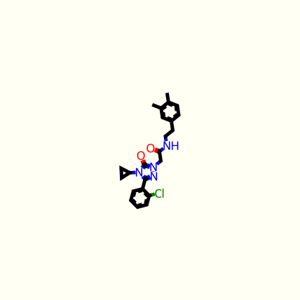 Cc1ccc(CCNC(=O)Cn2nc(-c3ccccc3Cl)n(C3CC3)c2=O)cc1C